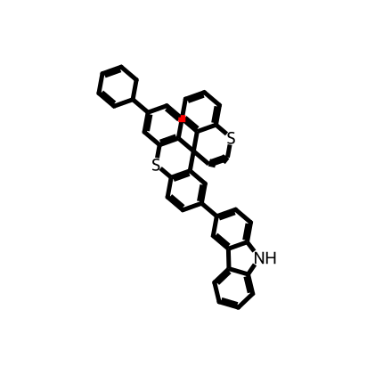 C1=CCC(c2ccc3c(c2)Sc2ccc(-c4ccc5[nH]c6ccccc6c5c4)cc2C32c3ccccc3Sc3ccccc32)C=C1